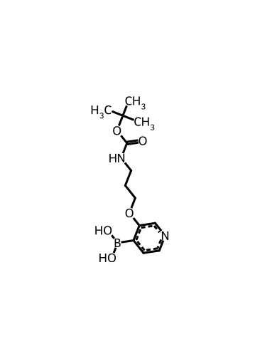 CC(C)(C)OC(=O)NCCCOc1cnccc1B(O)O